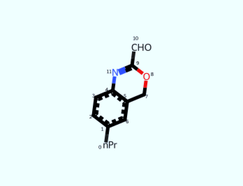 CCCc1ccc2c(c1)COC(C=O)=N2